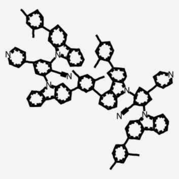 Cc1ccc(-c2ccc3c(c2)c2ccccc2n3-c2cc(-c3ccncc3)cc(-n3c4ccc(-c5ccc(C)cc5C)cc4c4c(-c5cc(-c6ccc7c8ccccc8n(-c8cc(-c9ccncc9)cc(-n9c%10ccccc%10c%10ccc(-c%11ccc(C)cc%11C)cc%109)c8C#N)c7c6)c(C)cc5C)cccc43)c2C#N)c(C)c1